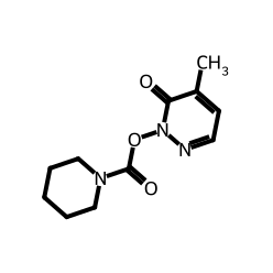 Cc1ccnn(OC(=O)N2CCCCC2)c1=O